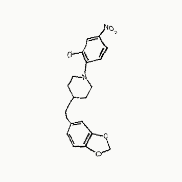 O=[N+]([O-])c1ccc(N2CCC(Cc3ccc4c(c3)OCO4)CC2)c(Cl)c1